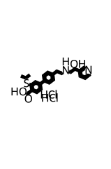 CC(C)Sc1cc(-c2ccc(CCNC[C@@H](O)c3cccnc3)cc2)ccc1C(=O)O.Cl.Cl